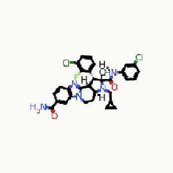 C[C@]1(C(=O)Nc2cccc(Cl)c2)[C@@H](c2cccc(Cl)c2F)[C@@H]2c3nc4ccc(C(N)=O)cc4n3CC[C@@H]2N1CC1CC1